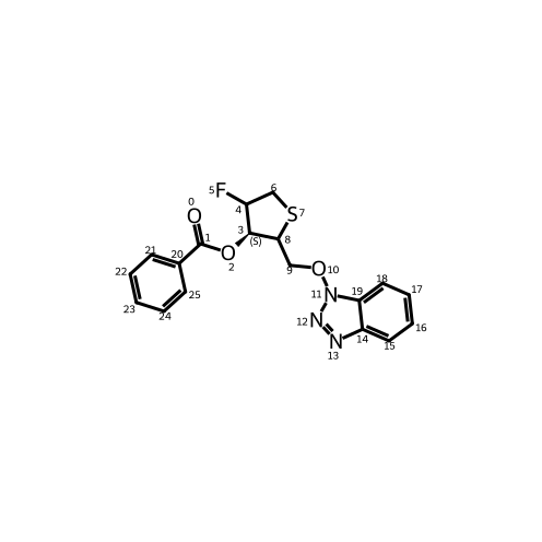 O=C(O[C@H]1C(F)CSC1COn1nnc2ccccc21)c1ccccc1